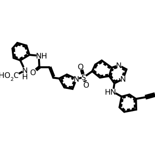 C#Cc1cccc(Nc2ncnc3ccc(S(=O)(=O)n4ccc(C=CC(=O)Nc5ccccc5NC(=O)O)c4)cc23)c1